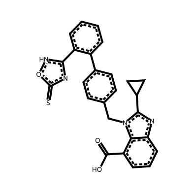 O=C(O)c1cccc2nc(C3CC3)n(Cc3ccc(-c4ccccc4-c4nc(=S)o[nH]4)cc3)c12